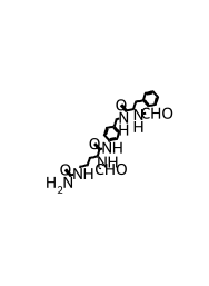 NC(=O)NCCCC(NC=O)C(=O)Nc1ccc(CNC(=O)C(Cc2ccccc2)NC=O)cc1